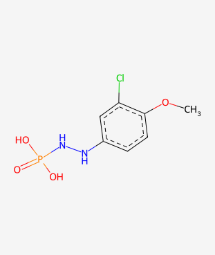 COc1ccc(NNP(=O)(O)O)cc1Cl